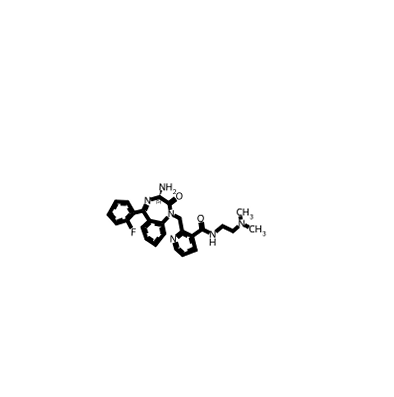 CN(C)CCNC(=O)c1cccnc1CN1C(=O)[C@@H](N)N=C(c2ccccc2F)c2ccccc21